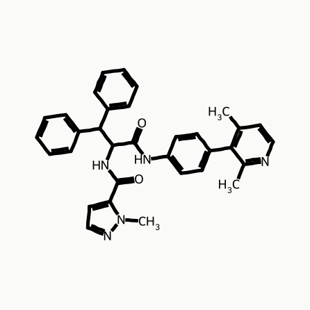 Cc1ccnc(C)c1-c1ccc(NC(=O)C(NC(=O)c2ccnn2C)C(c2ccccc2)c2ccccc2)cc1